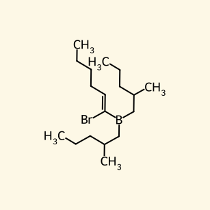 CCCCC=C(Br)B(CC(C)CCC)CC(C)CCC